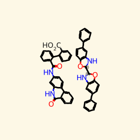 O=C(O)c1ccccc1-c1ccccc1C(=O)Nc1ccc2c(c1)[nH]c(=O)c1ccccc12.c1ccc(-c2ccc3c(c2)N[C@@H]([C@H]2Nc4cc(-c5ccccc5)ccc4O2)O3)cc1